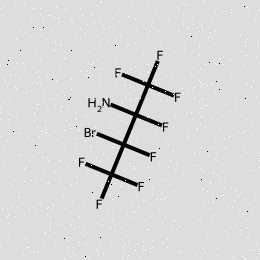 NC(F)(C(F)(F)F)C(F)(Br)C(F)(F)F